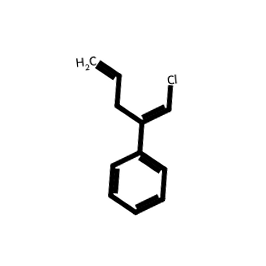 C=CC/C(=C\Cl)c1ccccc1